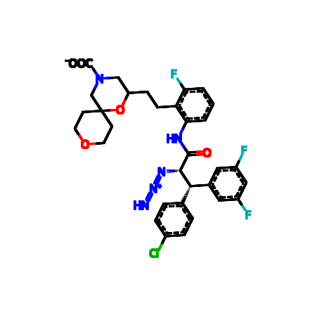 N=[N+]=N[C@H](C(=O)Nc1cccc(F)c1CCC1CN(C(=O)[O-])CC2(CCOCC2)O1)[C@@H](c1ccc(Cl)cc1)c1cc(F)cc(F)c1